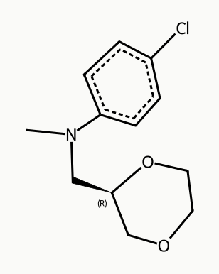 CN(C[C@@H]1COCCO1)c1ccc(Cl)cc1